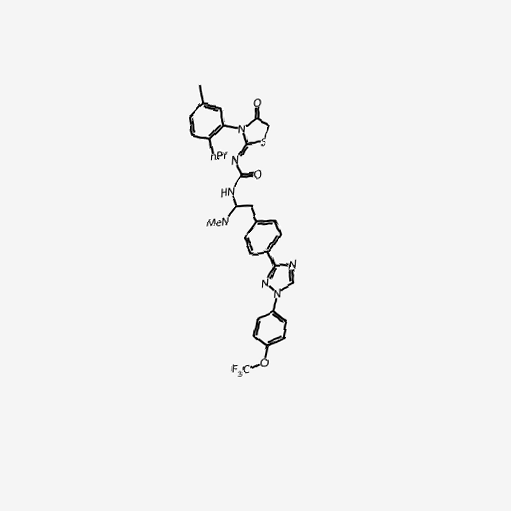 CCCc1ccc(C)cc1N1C(=O)CS/C1=N\C(=O)NC(Cc1ccc(-c2ncn(-c3ccc(OC(F)(F)F)cc3)n2)cc1)NC